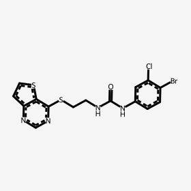 O=C(NCCSc1ncnc2ccsc12)Nc1ccc(Br)c(Cl)c1